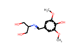 COc1cc(/C=N/C(CO)CO)cc(OC)c1O